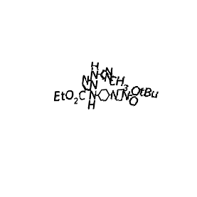 CCOC(=O)c1cnc(Nc2cnn(C)c2)nc1NC1CCC(N2CCN(C(=O)OC(C)(C)C)CC2)CC1